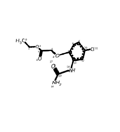 CCOC(=O)COc1ccc(Cl)cc1NC(N)=O